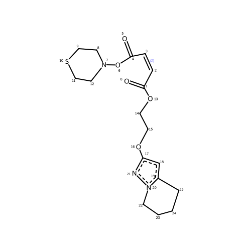 O=C(/C=C\C(=O)ON1CCSCC1)OCCOc1cc2n(n1)CCCC2